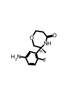 C[C@@]1(c2cc(N)ccc2F)COCCC(=O)N1